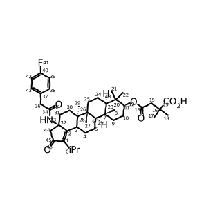 CC(C)C1=C2C3CC[C@@H]4[C@@]5(C)CC[C@H](OC(=O)CC(C)(C)C(=O)O)C(C)(C)[C@@H]5CC[C@@]4(C)[C@]3(C)CC[C@@]2(NC(=O)Cc2ccc(F)cc2)CC1=O